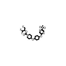 CS(=O)(=O)c1cnc(OC2CCC(OC3CCN(C(=O)OC(CF)C(F)F)CC3)CC2)cn1